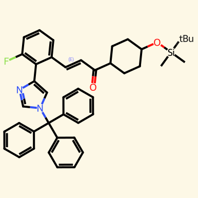 CC(C)(C)[Si](C)(C)OC1CCC(C(=O)/C=C/c2cccc(F)c2-c2cn(C(c3ccccc3)(c3ccccc3)c3ccccc3)cn2)CC1